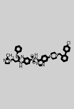 CC1=NCCN1CCC(CSc1ccccc1)Nc1ccc(S(=O)(=O)Nc2ncnc3cc(N4CCN(Cc5ccccc5-c5ccc(Cl)cc5)CC4)ccc23)cc1[N+](=O)[O-]